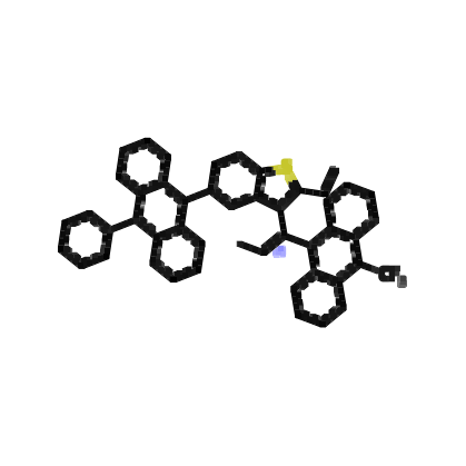 C=Cc1sc2ccc(-c3c4ccccc4c(-c4ccccc4)c4ccccc34)cc2c1/C(=C\C)c1c2ccccc2c(C(F)(F)F)c2ccccc12